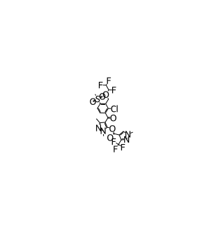 Cc1nn(C)c(OC(=O)c2cn(C)nc2C(F)(F)F)c1C(=O)c1ccc(S(C)(=O)=O)c(COC(F)C(F)F)c1Cl